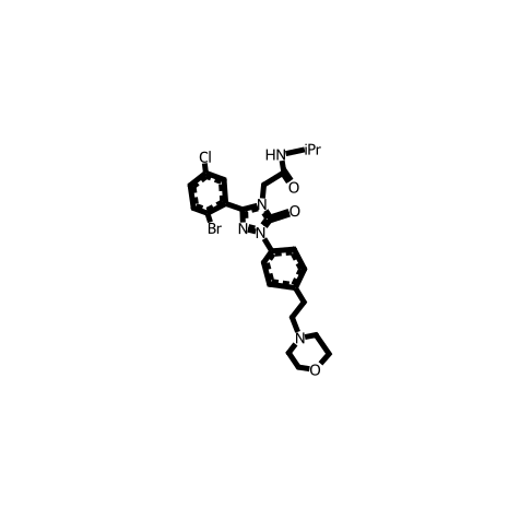 CC(C)NC(=O)Cn1c(-c2cc(Cl)ccc2Br)nn(-c2ccc(CCN3CCOCC3)cc2)c1=O